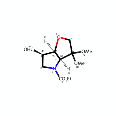 CCOC(=O)N1C[C@@H](C=O)[C@H]2OCC(OC)(OC)[C@H]21